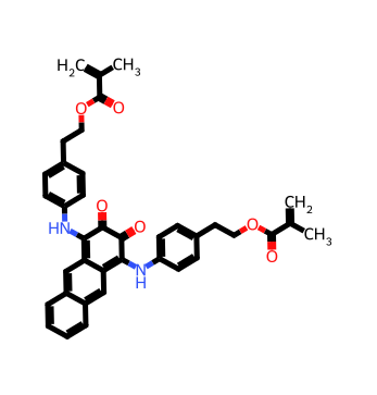 C=C(C)C(=O)OCCc1ccc(NC2=c3cc4ccccc4cc3=C(Nc3ccc(CCOC(=O)C(=C)C)cc3)C(=O)C2=O)cc1